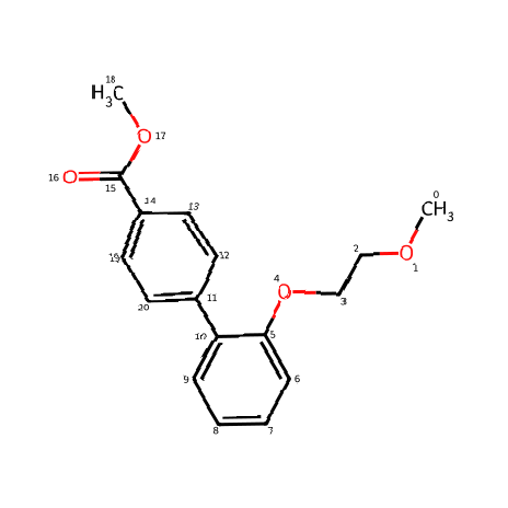 COCCOc1ccccc1-c1ccc(C(=O)OC)cc1